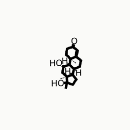 CC1(O)CC[C@H]2[C@@H]3CCC4=CC(=O)CC[C@]4(C)[C@@H]3C(O)C[C@@]21C